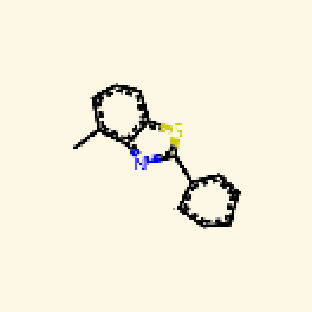 Cc1cccc2sc(-c3[c]cccc3)nc12